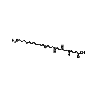 CCCCCCCCCCCCSCCCNCCNCCNCCCC(=O)O